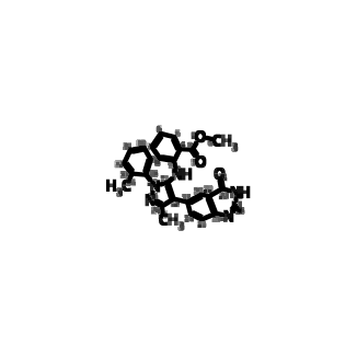 COC(=O)c1ccccc1Nc1c(-c2ccc3nn[nH]c(=O)c3c2)c(C)nn1-c1ccccc1C